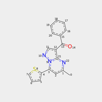 Cc1cc(-c2cccs2)n2ncc(C(=O)c3ccccc3)c2n1